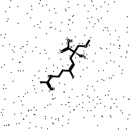 COC[C@@](N)(C/C=C(/F)CCNC(C)=N)C(=O)O